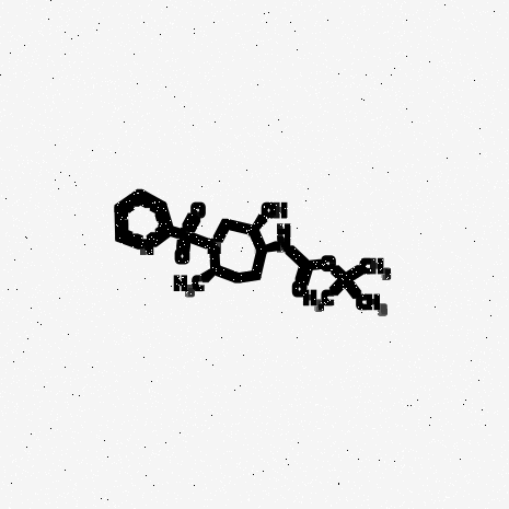 C[C@@H]1CC[C@H](NC(=O)OC(C)(C)C)[C@H](O)CN1S(=O)(=O)c1ccccn1